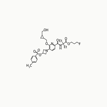 CCC(CC)(NC(=O)c1ccc(N2CC(OS(=O)(=O)c3ccc(C)cc3)C2)c(OCC2CC2CO)n1)C(=O)OCCCF